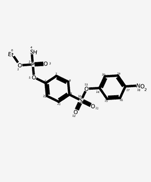 CCOP(=O)(S)Oc1ccc(S(=O)(=O)Oc2ccc([N+](=O)[O-])cc2)cc1